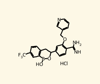 Cl.N=C(N)c1ccc(C2Cc3ccc(C(F)(F)F)cc3B(O)O2)cc1OCc1cccnc1